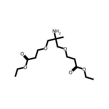 CCOC(=O)CCOCC(C)(N)COCCC(=O)OCC